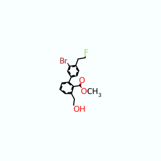 COC(=O)c1c(CCO)cccc1-c1ccc(CCF)c(Br)c1